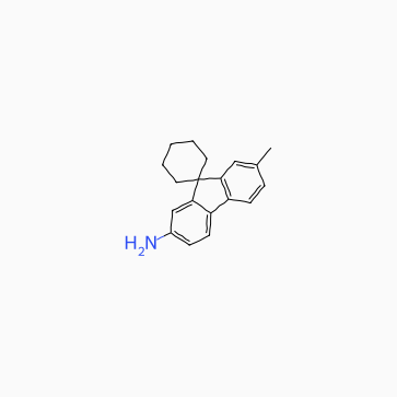 Cc1ccc2c(c1)C1(CCCCC1)c1cc(N)ccc1-2